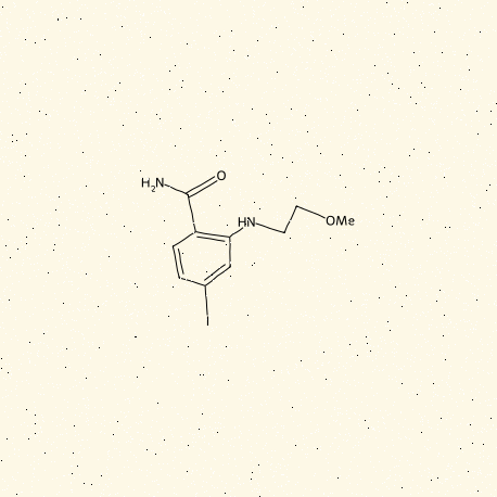 COCCNc1cc(I)ccc1C(N)=O